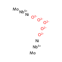 [Mo].[Mo].[Nb+5].[Nb+5].[Ni].[Ni].[O-2].[O-2].[O-2].[O-2].[O-2]